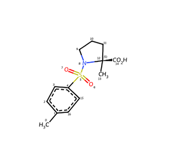 Cc1ccc(S(=O)(=O)N2CCC[C@@]2(C)C(=O)O)cc1